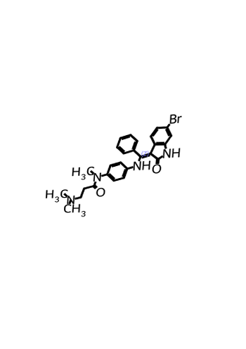 CN(C)CCC(=O)N(C)c1ccc(N/C(=C2\C(=O)Nc3cc(Br)ccc32)c2ccccc2)cc1